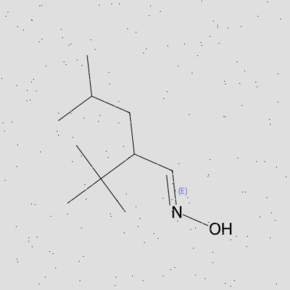 CC(C)CC(/C=N/O)C(C)(C)C